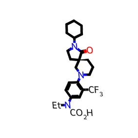 CCN(C(=O)O)c1ccc(N2CCC[C@]3(CCN(C4CCCCC4)C3=O)C2)c(C(F)(F)F)c1